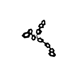 c1cc(-c2cccc3ccccc23)cc(N(c2ccc(-c3ccc(-c4ccc5ccccc5c4)cc3)cc2)c2ccc(-c3ccc4ccccc4c3)cc2)c1